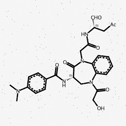 CC(=O)C[C@@H](C=O)NC(=O)CN1C(=O)[C@@H](NC(=O)c2ccc(N(C)C)cc2)CN(C(=O)CO)c2ccccc21